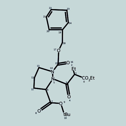 CCOC(=O)C(CC)C(=O)N1C(C(=O)OC(C)(C)C)CCCN1C(=O)OCc1ccccc1